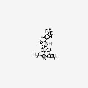 CC[C@@H]1CC[C@H](C(=O)NC(c2cc(F)c(C(F)(F)F)cc2F)C2COC2)N1C(=O)c1c(C)cnn1C